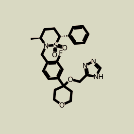 C[C@H]1CC[C@H](c2ccccc2)S(=O)(=O)N1Cc1ccc(C2(OCc3nnc[nH]3)CCOCC2)cc1F